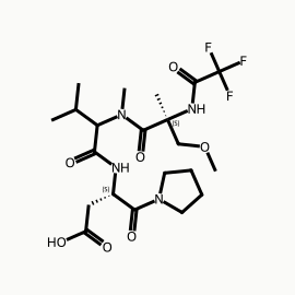 COC[C@](C)(NC(=O)C(F)(F)F)C(=O)N(C)C(C(=O)N[C@@H](CC(=O)O)C(=O)N1CCCC1)C(C)C